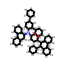 c1ccc(-c2ccc(N(c3ccc(-c4c(-c5ccccc5)c5ccccc5c5ccccc45)cc3)c3cc4ccccc4c4ccccc34)c(-c3ccccc3)c2)cc1